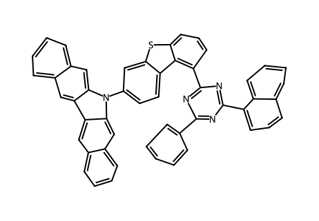 c1ccc(-c2nc(-c3cccc4ccccc34)nc(-c3cccc4sc5cc(-n6c7cc8ccccc8cc7c7cc8ccccc8cc76)ccc5c34)n2)cc1